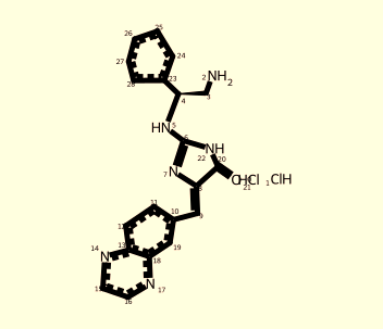 Cl.Cl.NC[C@@H](NC1=N/C(=C\c2ccc3nccnc3c2)C(=O)N1)c1ccccc1